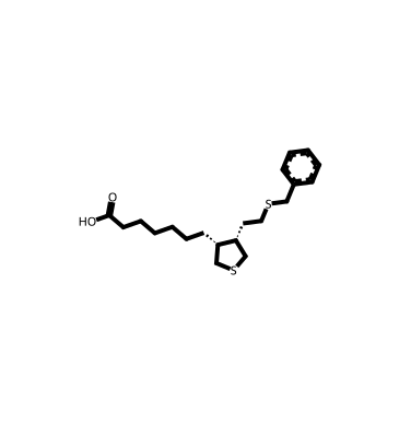 O=C(O)CCCCCC[C@H]1CSC[C@H]1CCSCc1ccccc1